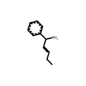 CCC=CC(N)c1ccccc1